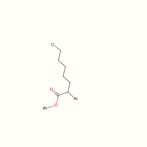 CC(=O)C(CCCCCCl)C(=O)OC(C)C